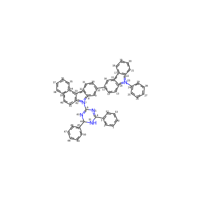 c1ccc(C2=NC(n3c4cc(-c5ccc6c(c5)c5ccccc5n6-c5ccccc5)ccc4c4c5ccccc5ccc43)=NC(c3ccccc3)N2)cc1